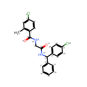 Cc1cc(Cl)ccc1C(=O)NCC(=O)NC(c1ccccc1)c1ccc(Cl)cc1